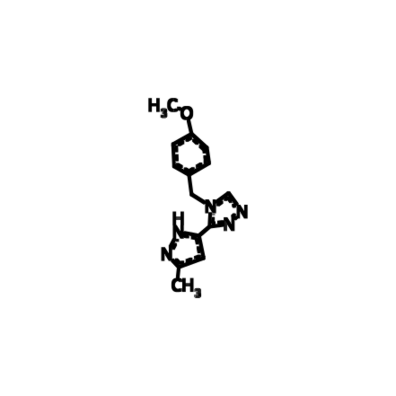 COc1ccc(Cn2cnnc2-c2cc(C)n[nH]2)cc1